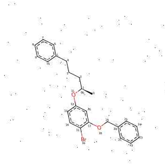 C[C@H](CCCc1ccccc1)Oc1ccc(Br)c(OCc2ccccc2)c1